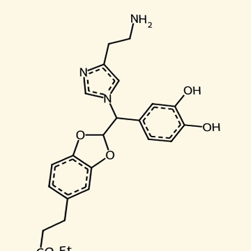 CCOC(=O)CCc1ccc2c(c1)OC(C(c1ccc(O)c(O)c1)n1cnc(CCN)c1)O2